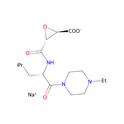 CCN1CCN(C(=O)[C@H](CC(C)C)NC(=O)[C@@H]2O[C@H]2C(=O)[O-])CC1.[Na+]